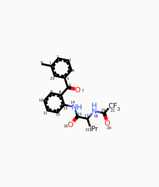 Cc1cccc(C(=O)c2ccccc2NC(=O)C(NC(=O)C(F)(F)F)C(C)C)c1